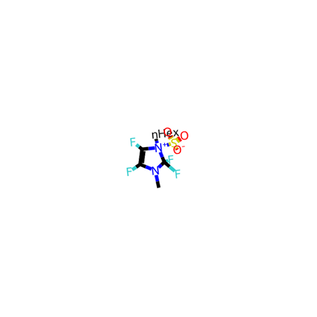 CCCCCC[N+]1(S(=O)(=O)[O-])C(F)=C(F)N(C)C1(F)F